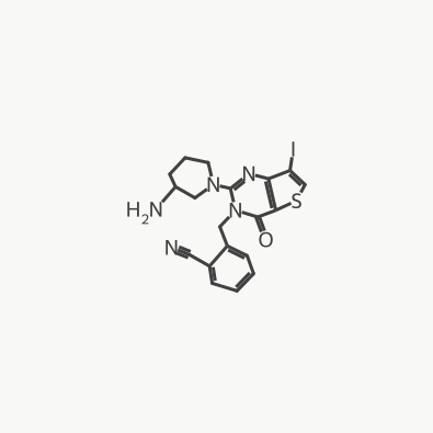 N#Cc1ccccc1Cn1c(N2CCCC(N)C2)nc2c(I)csc2c1=O